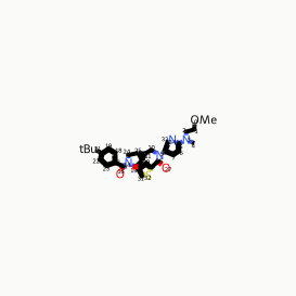 COCCN(C)c1ccc(N(CC2C3CN(C(=O)c4ccc(C(C)(C)C)cc4)CC32)C(=O)c2cccs2)cn1